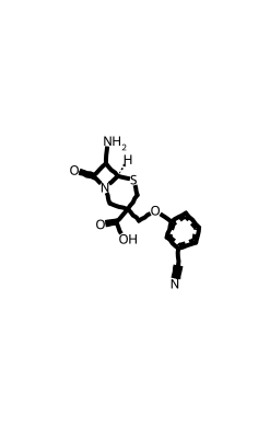 N#Cc1cccc(OCC2(C(=O)O)CS[C@@H]3C(N)C(=O)N3C2)c1